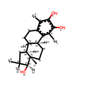 [2H]c1c(O)c(O)c([2H])c2c1CC[C@@H]1[C@@H]2CC[C@@]2(C)[C@H]1CC([2H])([2H])[C@]2([2H])O